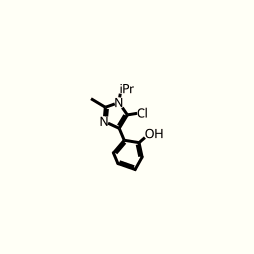 Cc1nc(-c2ccccc2O)c(Cl)n1C(C)C